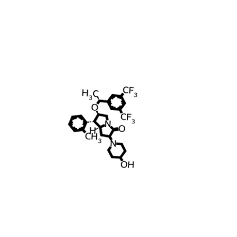 Cc1ccccc1[C@@H]1[C@@H](O[C@H](C)c2cc(C(F)(F)F)cc(C(F)(F)F)c2)CN2C(=O)C(N3CCC(O)CC3)C[C@@H]12